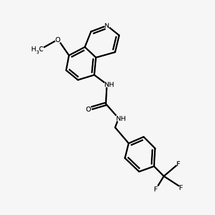 COc1ccc(NC(=O)NCc2ccc(C(F)(F)F)cc2)c2ccncc12